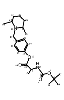 CC(NC(=O)OC(C)(C)C)C(=O)Oc1ccc(CN2C(C)CCCC2C)cc1